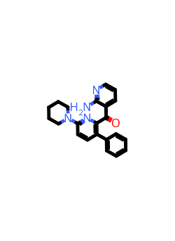 Nc1ncccc1C(=O)c1nc(N2CCCCC2)ccc1-c1ccccc1